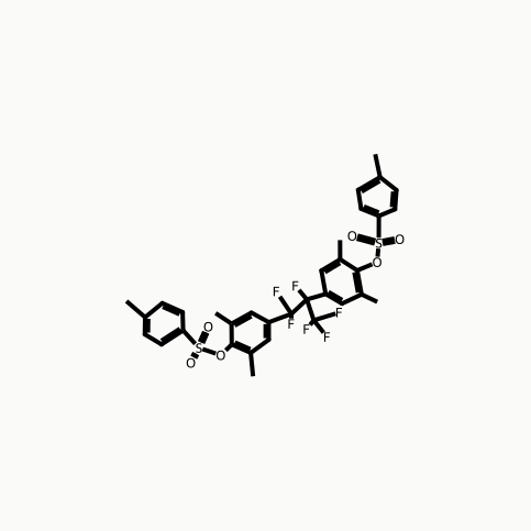 Cc1ccc(S(=O)(=O)Oc2c(C)cc(C(F)(F)C(F)(c3cc(C)c(OS(=O)(=O)c4ccc(C)cc4)c(C)c3)C(F)(F)F)cc2C)cc1